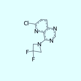 FC1(F)CN(c2ncnc3ccc(Cl)nc23)C1